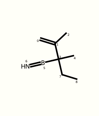 C=C(C)C(C)(B=N)CC